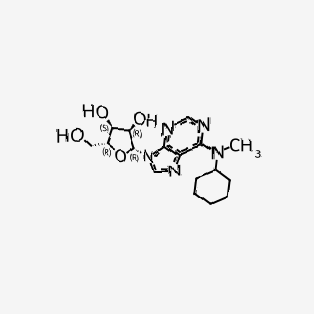 CN(c1ncnc2c1ncn2[C@@H]1O[C@H](CO)[C@@H](O)[C@H]1O)C1CCCCC1